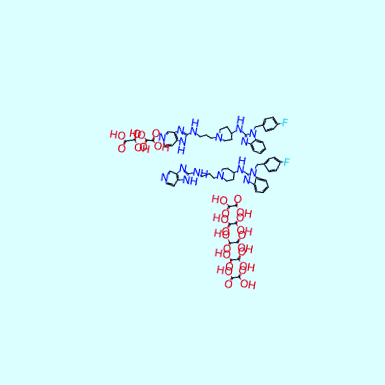 Fc1ccc(Cn2c(NC3CCN(CCCNc4nc5cnccc5[nH]4)CC3)nc3ccccc32)cc1.Fc1ccc(Cn2c(NC3CCN(CCCNc4nc5cnccc5[nH]4)CC3)nc3ccccc32)cc1.O=C(O)C(=O)O.O=C(O)C(=O)O.O=C(O)C(=O)O.O=C(O)C(=O)O.O=C(O)C(=O)O.O=C(O)C(=O)O.O=C(O)C(=O)O